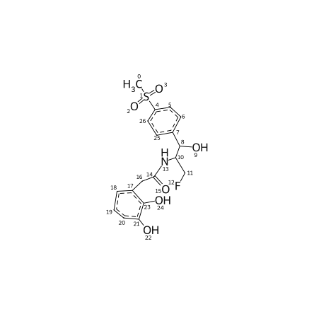 CS(=O)(=O)c1ccc(C(O)C(CF)NC(=O)Cc2cccc(O)c2O)cc1